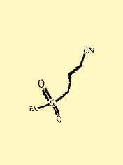 CCS(=O)(=O)CCCC#N